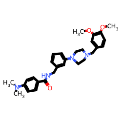 COc1ccc(CN2CCN(c3cccc(CNC(=O)c4ccc(N(C)C)cc4)c3)CC2)cc1OC